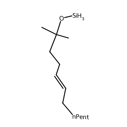 CCCCCCC=CCCC(C)(C)O[SiH3]